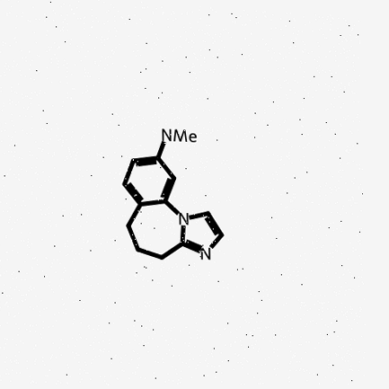 CNc1ccc2c(c1)-n1ccnc1CCC2